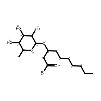 CCCCCCCC(CC(=O)O)OC1OC(C)C(O)C(O)C1O